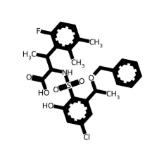 Cc1ccc(F)c(C(C)C(NS(=O)(=O)c2c(O)cc(Cl)cc2C(C)OCc2ccccc2)C(=O)O)c1C